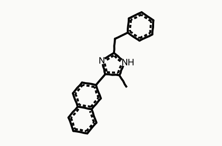 Cc1[nH]c(Cc2ccccc2)nc1-c1ccc2ccccc2c1